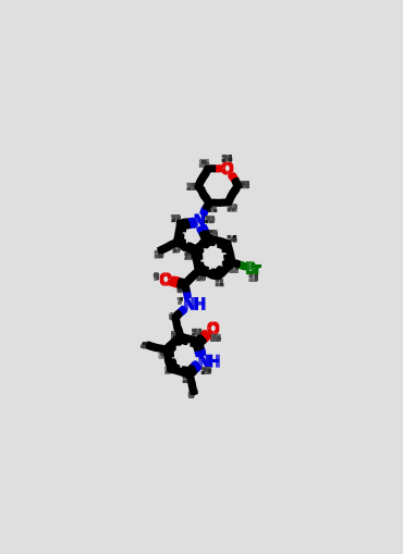 Cc1cc(C)c(CNC(=O)c2cc(Br)cc3c2c(C)cn3C2CCOCC2)c(=O)[nH]1